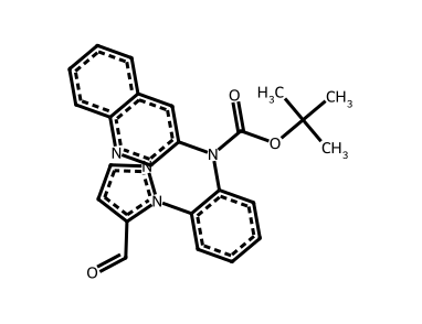 CC(C)(C)OC(=O)N(c1cnc2ccccc2c1)c1ccccc1-n1nccc1C=O